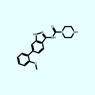 COc1ccccc1-c1ccc2c(NC(=O)N3CCNCC3)n[nH]c2c1